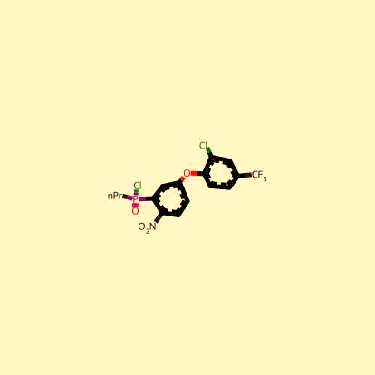 CCCP(=O)(Cl)c1cc(Oc2ccc(C(F)(F)F)cc2Cl)ccc1[N+](=O)[O-]